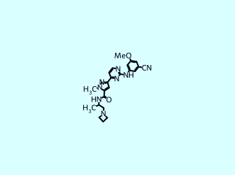 COc1cc(C#N)cc(Nc2nccc(-c3cc(C(=O)NC(C)CN4CCC4)n(C)n3)n2)c1